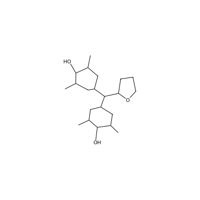 CC1CC(C(C2CC(C)C(O)C(C)C2)C2CCCO2)CC(C)C1O